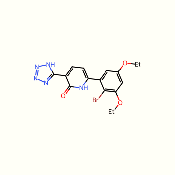 CCOc1cc(OCC)c(Br)c(-c2ccc(-c3nnn[nH]3)c(=O)[nH]2)c1